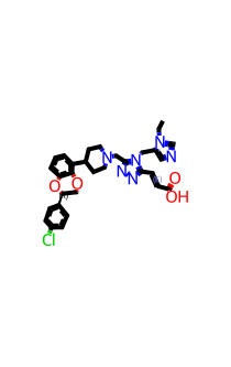 CCn1cncc1Cn1c(/C=C/C(=O)O)nnc1CN1CCC(c2cccc3c2OC[C@@H](c2ccc(Cl)cc2)O3)CC1